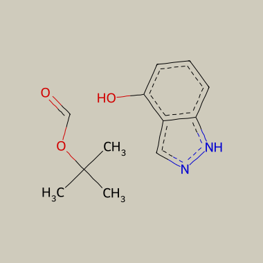 CC(C)(C)OC=O.Oc1cccc2[nH]ncc12